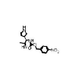 CC(=N)C(NC(=O)OCc1ccc([N+](=O)[O-])cc1)[C@H]1CCNC1